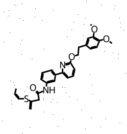 C=C(CC(=O)Nc1cccc(-c2cccc(OCCc3ccc(OC)c(OC)c3)n2)c1)S/C=C\C